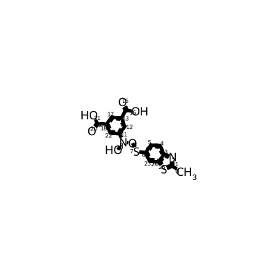 Cc1nc2ccc(SON(O)c3cc(C(=O)O)cc(C(=O)O)c3)cc2s1